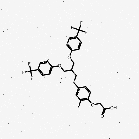 Cc1cc(SCC(COc2ccc(C(F)(F)F)cc2)COc2ccc(C(F)(F)F)cc2)ccc1OCC(=O)O